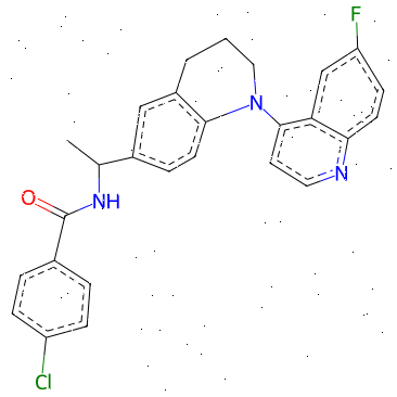 CC(NC(=O)c1ccc(Cl)cc1)c1ccc2c(c1)CCCN2c1ccnc2ccc(F)cc12